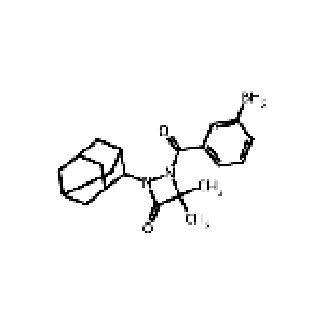 Bc1cccc(C(=O)N2N(C3C4CC5CC(C4)CC3C5)C(=O)C2(C)C)c1